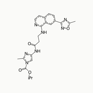 Cc1nc(-c2ccc3ccnc(NCCC(=O)Nc4cn(C(=O)OC(C)C)c(C)n4)c3c2)no1